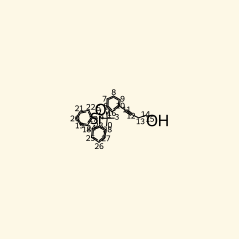 CC(C)(C)[Si](Oc1cccc(C#CCCO)c1)(c1ccccc1)c1ccccc1